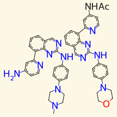 CC(=O)Nc1ccnc(-c2cccc3cnc(Nc4ccc(N5CCOCC5)cc4)nc23)c1.CN1CCN(c2ccc(Nc3ncc4cccc(-c5cc(N)ccn5)c4n3)cc2)CC1